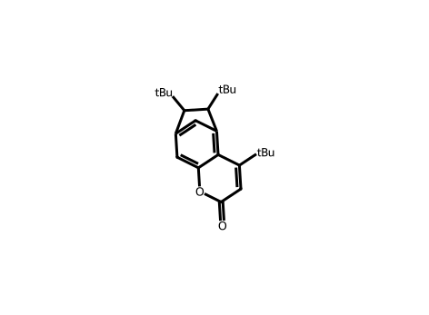 CC(C)(C)c1cc(=O)oc2cc3cc(c12)C(C(C)(C)C)C3C(C)(C)C